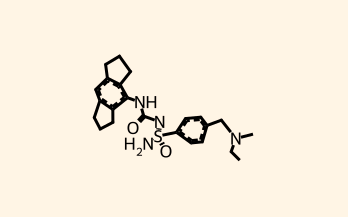 CCN(C)Cc1ccc(S(N)(=O)=NC(=O)Nc2c3c(cc4c2CCC4)CCC3)cc1